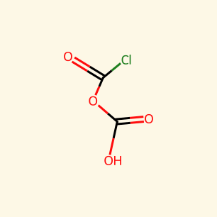 O=C(O)OC(=O)Cl